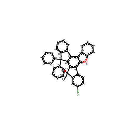 CC1(C)c2cc(Cl)ccc2-c2c1c1c(c3c2oc2ccccc23)-c2ccccc2C1(c1ccccc1)c1ccccc1